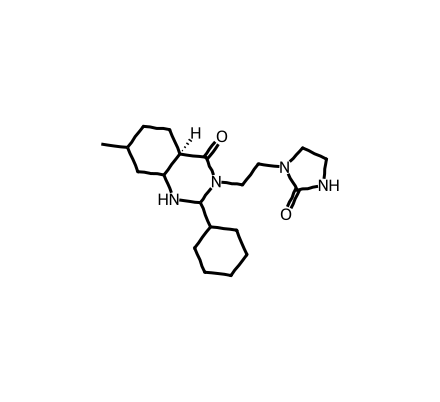 CC1CC[C@H]2C(=O)N(CCN3CCNC3=O)C(C3CCCCC3)NC2C1